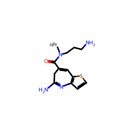 CCCN(CCCN)C(=O)C1=Cc2sccc2N=C(N)C1